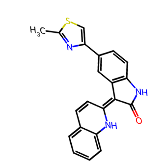 Cc1nc(-c2ccc3c(c2)C(=C2C=Cc4ccccc4N2)C(=O)N3)cs1